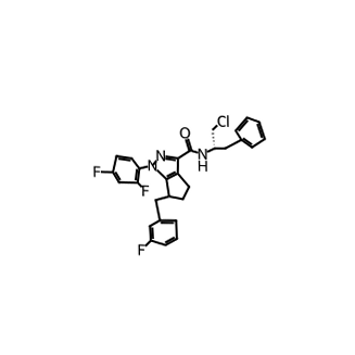 O=C(N[C@H](CCl)Cc1ccccc1)c1nn(-c2ccc(F)cc2F)c2c1CCC2Cc1cccc(F)c1